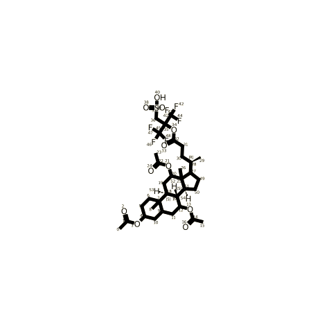 CC(=O)OC1CCC2(C)C(C1)CC(OC(C)=O)[C@@H]1[C@@H]2CC(OC(C)=O)C2(C)C([C@H](C)CCC(=O)OC(CS(=O)(=O)O)(C(F)(F)F)C(F)(F)F)CC[C@@H]12